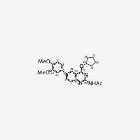 COc1ccc(-c2ccc3nc(NC(C)=O)nc(OC4CCCC4)c3c2)cc1OC